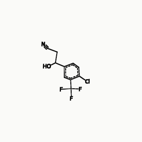 N#CCC(O)c1ccc(Cl)c(C(F)(F)F)c1